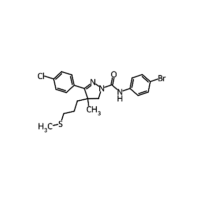 CSCCCC1(C)CN(C(=O)Nc2ccc(Br)cc2)N=C1c1ccc(Cl)cc1